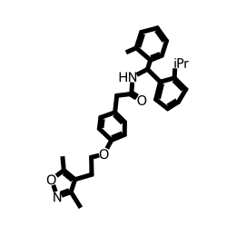 Cc1ccccc1C(NC(=O)Cc1ccc(OCCc2c(C)noc2C)cc1)c1ccccc1C(C)C